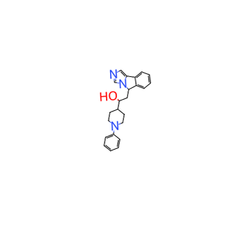 O[C@@H](CC1c2ccccc2-c2cncn21)C1CCN(c2ccccc2)CC1